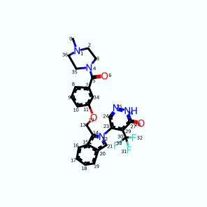 CN1CCN(C(=O)c2cccc(OCc3c4ccccc4cn3-c3cn[nH]c(=O)c3C(F)(F)F)c2)CC1